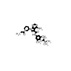 C=CC(=O)N1CCC[C@@H](n2nc(C(=O)Nc3cc(C)c(OC(=O)N(C)C)c(C)c3)c3c(N)ncnc32)C1